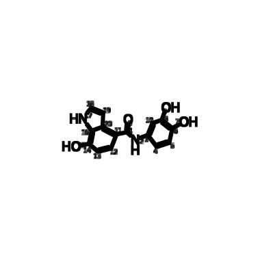 O=C(Nc1ccc(O)c(O)c1)c1ccc(O)c2[nH]ccc12